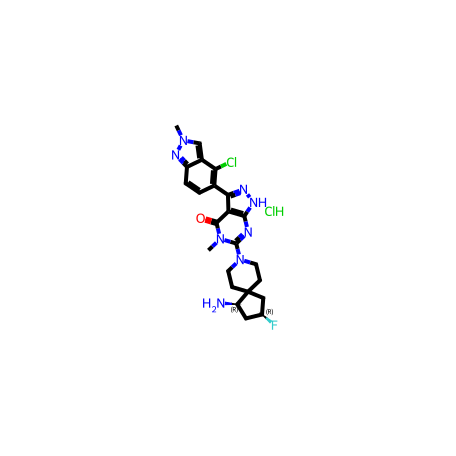 Cl.Cn1cc2c(Cl)c(-c3n[nH]c4nc(N5CCC6(CC5)C[C@@H](F)C[C@H]6N)n(C)c(=O)c34)ccc2n1